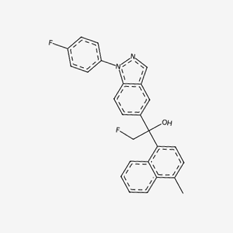 Cc1ccc(C(O)(CF)c2ccc3c(cnn3-c3ccc(F)cc3)c2)c2ccccc12